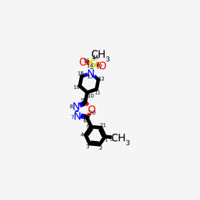 Cc1cccc(-c2nnc(C3CCN(S(C)(=O)=O)CC3)o2)c1